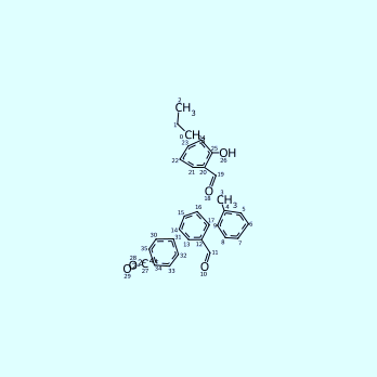 CCC.Cc1ccccc1.O=Cc1ccccc1.O=Cc1ccccc1O.[C+4].[O-2].[O-2].c1ccccc1